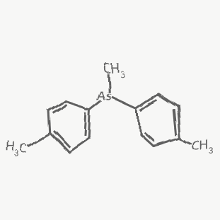 Cc1ccc([As](C)c2ccc(C)cc2)cc1